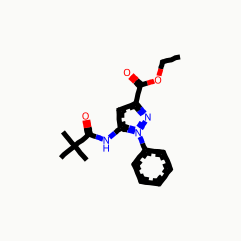 CCOC(=O)c1cc(NC(=O)C(C)(C)C)n(-c2ccccc2)n1